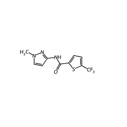 Cn1ccc(NC(=O)c2ccc(C(F)(F)F)s2)n1